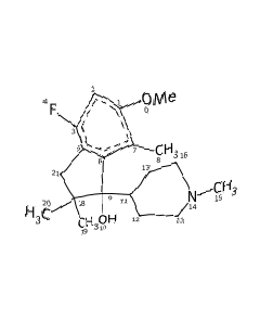 COc1cc(F)c2c(c1C)C(O)(C1CCN(C)CC1)C(C)(C)C2